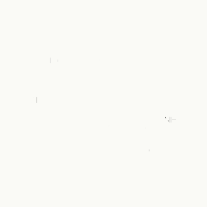 O=C1NCCCc2c1oc1cc(Cl)c(O)c(Cl)c21